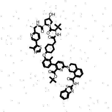 Cc1ncsc1-c1ccc([C@H](C)NC(=O)[C@@H]2C[C@@H](O)CN2C(=O)[C@@H](NC(=O)CC2CCC(Oc3cccc(-c4ccc(N5CCc6cccc(C(=O)Nc7nc8ccccc8s7)c6C5)nc4C(=O)OC(C)(C)C)c3C)CC2)C(C)(C)C)nc1